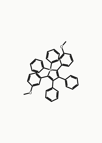 COc1cccc(C2=C(c3ccccc3)C(c3ccccc3)=C(c3cccc(OC)c3)[Si]2(c2ccccc2)c2ccccc2)c1